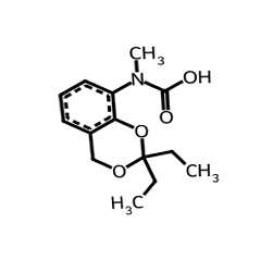 CCC1(CC)OCc2cccc(N(C)C(=O)O)c2O1